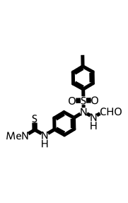 CNC(=S)Nc1ccc(N(NC=O)S(=O)(=O)c2ccc(C)cc2)cc1